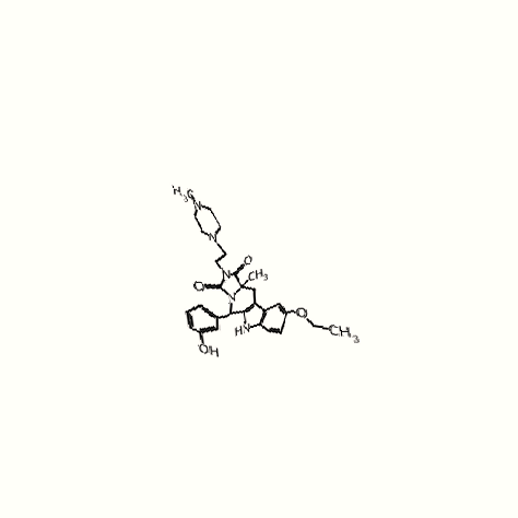 CCOc1ccc2[nH]c3c(c2c1)CC1(C)C(=O)N(CCN2CCN(C)CC2)C(=O)N1C3c1cccc(O)c1